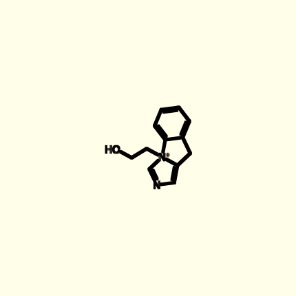 OCC[N+]12C=NC=C1Cc1ccccc12